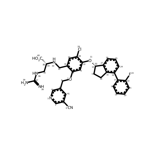 N#Cc1cncc(COc2cc(O[C@H]3CCc4c(-c5ccccc5F)cccc43)c(Cl)cc2CN[C@H](CNC(=N)N)C(=O)O)c1